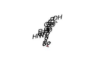 CC(C)c1ccccc1[C@@H]1CCCN1C1CC2(CCN(c3ccc(C(=O)NS(=O)(=O)c4cc5c(c([N+](=O)[O-])c4)SC(CC4CCC(C)(O)CC4)CO5)c(Oc4cnc5[nH]cc(F)c5c4)c3)CC2)C1